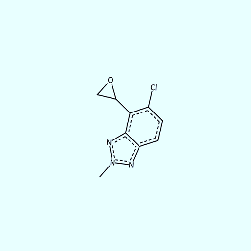 Cn1nc2ccc(Cl)c(C3CO3)c2n1